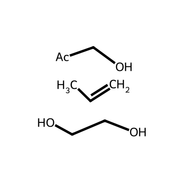 C=CC.CC(=O)CO.OCCO